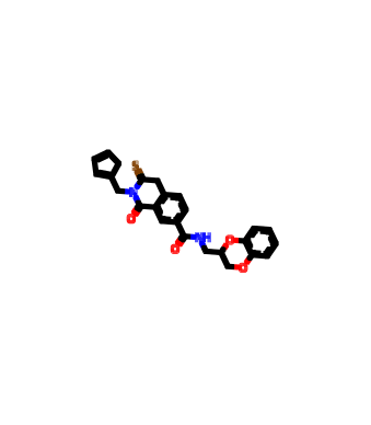 O=C(NCC1COc2ccccc2O1)c1ccc2c(c1)C(=O)N(CC1=CC=CC1)C(=S)C2